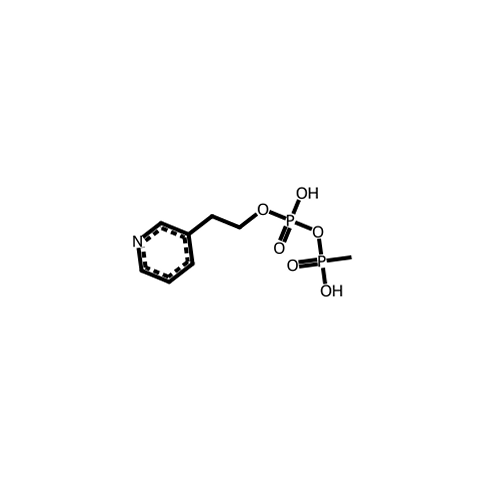 CP(=O)(O)OP(=O)(O)OCCc1cccnc1